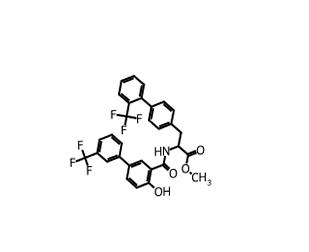 COC(=O)C(Cc1ccc(-c2ccccc2C(F)(F)F)cc1)NC(=O)c1cc(-c2cccc(C(F)(F)F)c2)ccc1O